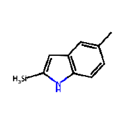 Cc1ccc2[nH]c([SiH3])cc2c1